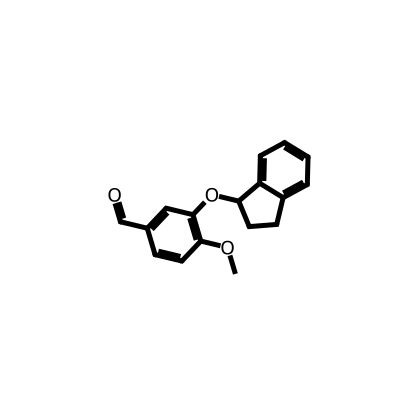 COc1ccc(C=O)cc1OC1CCc2ccccc21